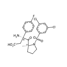 C[C@@]1(C(=O)[C@@](N)(CC(=O)O)c2ccc(F)cc2)CCCN1S(=O)(=O)c1cc(Cl)cc(Cl)c1